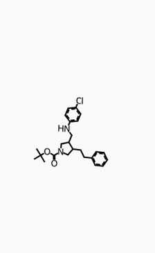 CC(C)(C)OC(=O)N1CC(CCc2ccccc2)C(CNc2ccc(Cl)cc2)C1